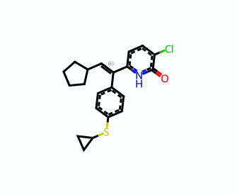 O=c1[nH]c(/C(=C/C2CCCC2)c2ccc(SC3CC3)cc2)ccc1Cl